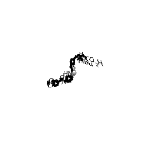 CC(C)(C)C1[C@@H]2CN(Cc3ccc4cc(C(=O)Nc5cc(NC(=O)c6ccc7c(c6)OCCO7)ccc5F)sc4c3)C[C@@H]2CN1C(=O)O